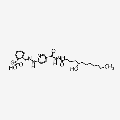 CCCCCCCC(O)CCCC(=O)NNC(=O)c1ccc(N/N=C/c2ccccc2S(=O)(=O)O)nc1